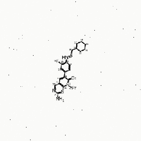 CC(C)n1c(=O)c(-c2ccc(NSCC3CCCCC3)c(F)c2)cc2cnc(N)nc21